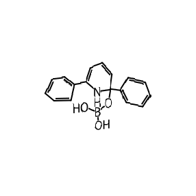 OB(O)OC1(c2ccccc2)C=CC=C(c2ccccc2)N1